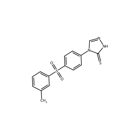 Cc1cccc(S(=O)(=O)c2ccc(-n3cn[nH]c3=S)cc2)c1